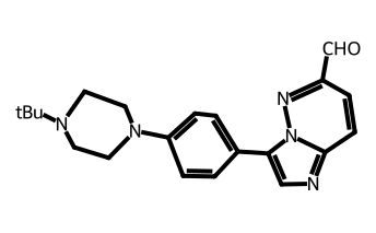 CC(C)(C)N1CCN(c2ccc(-c3cnc4ccc(C=O)nn34)cc2)CC1